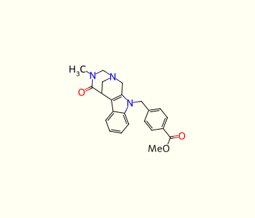 COC(=O)c1ccc(Cn2c3c(c4ccccc42)C2CN(C3)CN(C)C2=O)cc1